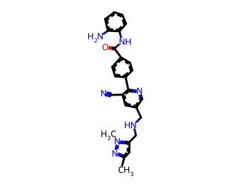 Cc1cc(CNCc2cnc(-c3ccc(C(=O)Nc4ccccc4N)cc3)c(C#N)c2)n(C)n1